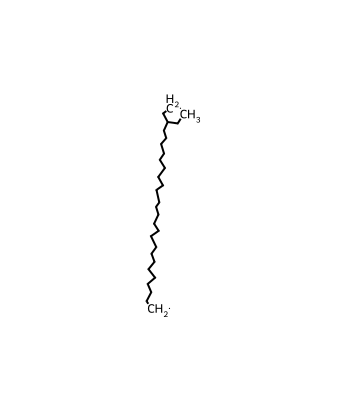 [CH2]CCCCCCCCCCCCCCCCCCCCCCCC(C[CH2])CC